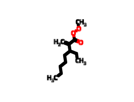 C=C(C(=O)OOC)C(CC)CCCCC